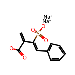 C=C(C(=O)[O-])C(=Cc1ccccc1)S(=O)(=O)[O-].[Na+].[Na+]